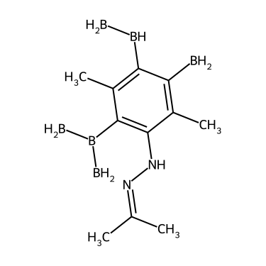 BBc1c(B)c(C)c(NN=C(C)C)c(B(B)B)c1C